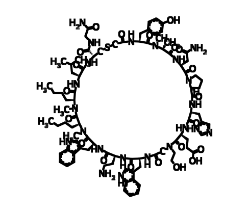 CCCC[C@H]1C(=O)N(C)[C@@H](CCCC)C(=O)N[C@@H](CC(C)C)C(=O)N[C@H](C(=O)NCC(N)=O)CSCC(=O)N[C@@H](Cc2ccc(O)cc2)C(=O)N(C)[C@@H](C)C(=O)N[C@@H](CC(N)=O)C(=O)N2CCC[C@H]2C(=O)N[C@@H](Cc2cnc[nH]2)C(=O)N[C@@H](CCC(=O)O)C(=O)N(CCO)CC(=O)N[C@@H](Cc2c[nH]c3ccccc23)C(=O)N[C@@H](CCN)C(=O)N[C@@H](Cc2c[nH]c3ccccc23)C(=O)N1C